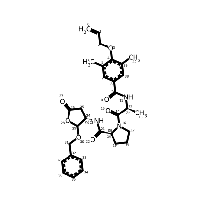 C=CCOc1c(C)cc(C(=O)N[C@@H](C)C(=O)N2CCC[C@H]2C(=O)N[C@H]2CC(=O)OC2OCc2ccccc2)cc1C